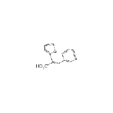 O=C(O)C(=Cc1ccccc1)c1cccs1